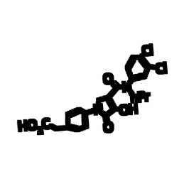 CCCN(C(=O)C1=C(O)C(=O)N(c2ccc(CC(=O)O)cc2)C1)c1ccc(Cl)c(Cl)c1